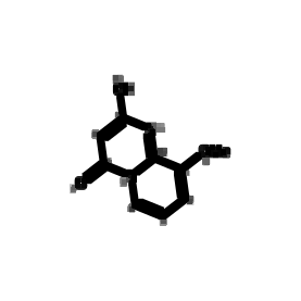 COc1cccn2c(=O)cc(O)nc12